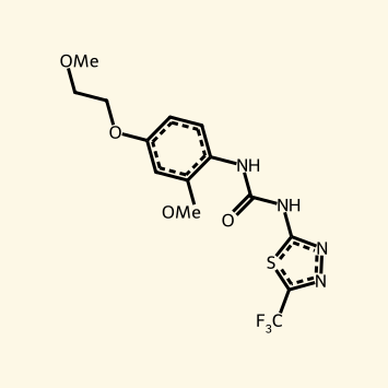 COCCOc1ccc(NC(=O)Nc2nnc(C(F)(F)F)s2)c(OC)c1